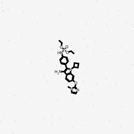 CCOP(=O)(Nc1ccc(-c2c(N)c3ccc(Oc4nccn4C)cc3n2C2CCC2)cc1)OCC